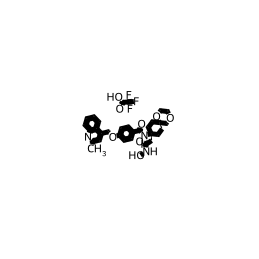 Cc1cc(COc2ccc(C(=O)N[C@]3(CC(=O)NO)CC[C@@]4(CC3)COCCO4)cc2)c2ccccc2n1.O=C(O)C(F)(F)F